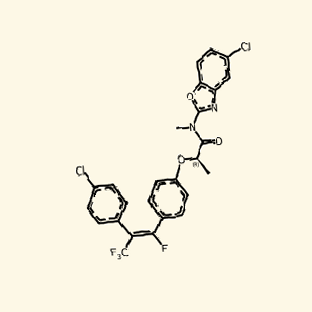 C[C@@H](Oc1ccc(C(F)=C(c2ccc(Cl)cc2)C(F)(F)F)cc1)C(=O)N(C)c1nc2cc(Cl)ccc2o1